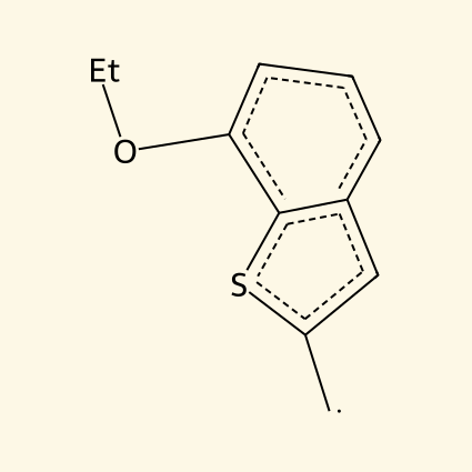 [CH2]c1cc2cccc(OCC)c2s1